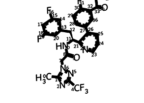 Cc1nc(C(F)(F)F)nn1CC(=O)N[C@@H](Cc1cc(F)cc(F)c1)c1ncccc1-c1ccc(F)c(C(N)=O)c1